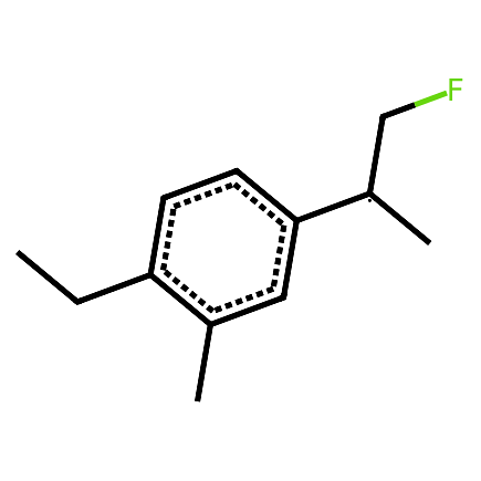 CCc1ccc([C](C)CF)cc1C